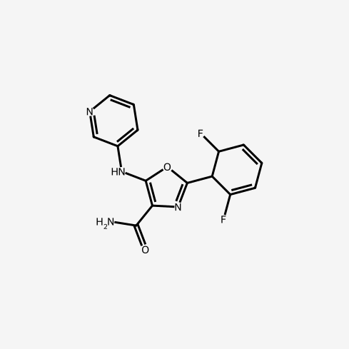 NC(=O)c1nc(C2C(F)=CC=CC2F)oc1Nc1cccnc1